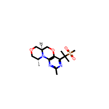 Cc1nc2c(c(C(C)(C)S(C)(=O)=O)n1)OC[C@@H]1COC[C@@H](C)N21